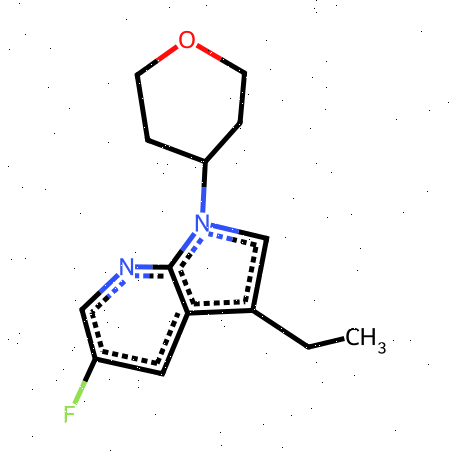 CCc1cn(C2CCOCC2)c2ncc(F)cc12